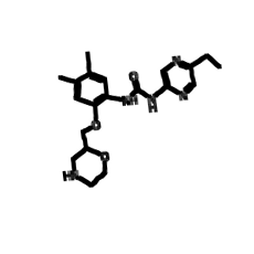 CCc1cnc(NC(=O)Nc2cc(C)c(C)cc2OCC2CNCCO2)cn1